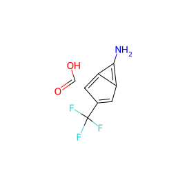 Nc1c2cc(C(F)(F)F)cc1-2.O=CO